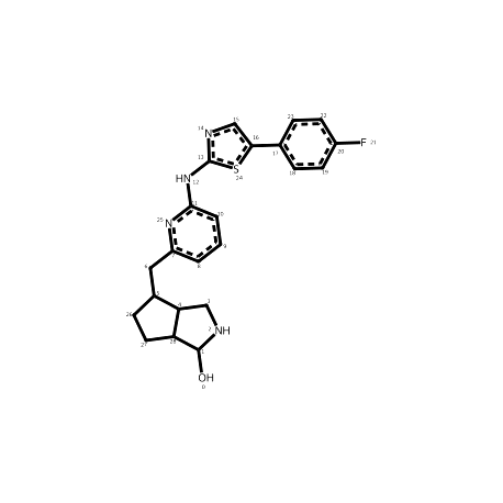 OC1NCC2C(Cc3cccc(Nc4ncc(-c5ccc(F)cc5)s4)n3)CCC12